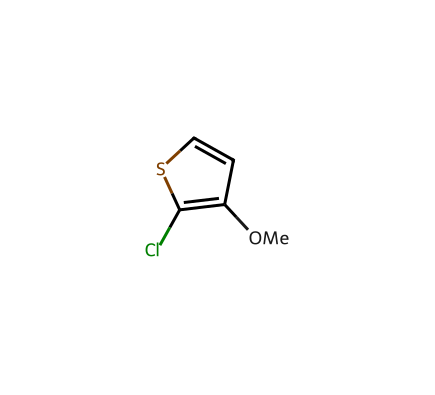 COc1ccsc1Cl